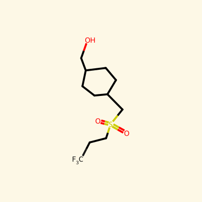 O=S(=O)(CCC(F)(F)F)CC1CCC(CO)CC1